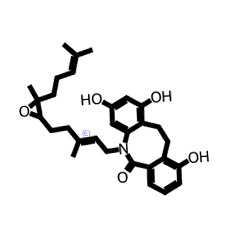 CC(C)=CCCC1(C)OC1CC/C(C)=C/CN1C(=O)c2cccc(O)c2CCc2c(O)cc(O)cc21